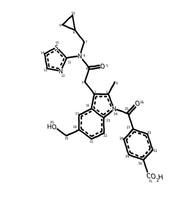 Cc1c(CC(=O)N(CC2CC2)c2nccs2)c2cc(CO)ccc2n1C(=O)c1ccc(C(=O)O)cc1